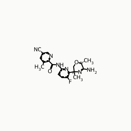 Cc1cc(C#N)cnc1C(=O)Nc1ccc(F)c([C@]2(C)CO[C@H](C)C(N)=N2)n1